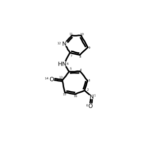 O=Nc1ccc(Nc2ccccn2)c(=O)cc1